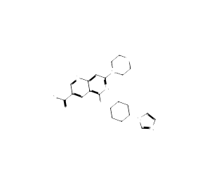 NC(=O)c1cnc2cc(N3CCOCC3)nc(O[C@H]3CC[C@@H](n4ccnc4)CC3)c2c1